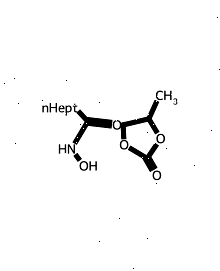 CC1COC(=O)O1.CCCCCCCC(=O)NO